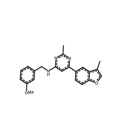 COc1cccc(CNc2cc(-c3ccc4occ(C)c4c3)nc(C)n2)c1